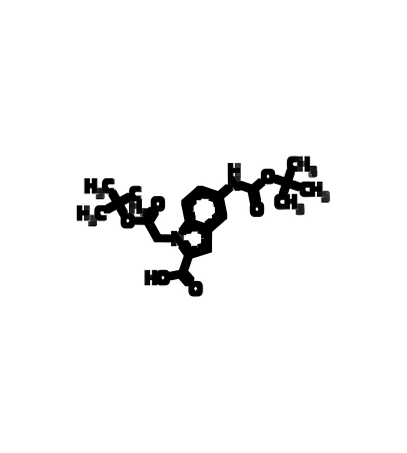 CC(C)(C)OC(=O)Cn1c(C(=O)O)cc2cc(NC(=O)OC(C)(C)C)ccc21